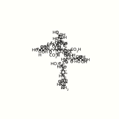 CCSSC[C@H](NC(=O)[C@H](CCC(=O)NC[C@H](O)[C@@H](O)[C@H](O)[C@H](O)CO)NC(=O)[C@H](CCC(=O)O)NC(=O)[C@H](CCC(=O)NC[C@H](O)[C@@H](O)[C@H](O)[C@H](O)CO)NC(=O)[C@H](CCC(=O)O)NC(=O)[C@H](CCC(=O)NC[C@H](O)[C@@H](O)[C@H](O)[C@H](O)CO)NC(=O)CC[C@H](NC(=O)c1ccc(NCc2cnc3nc(N)[nH]c(=O)c3n2)cc1)C(=O)O)C(=O)O